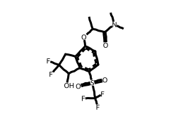 CC(Oc1ccc(S(=O)(=O)C(F)(F)F)c2c1CC(F)(F)C2O)C(=O)N(C)C